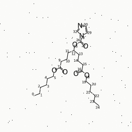 CCCCCCOC(=O)CCCC(CCCC(=O)OCCCCCC)OC(=O)n1ccnc1